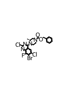 C[C@H]1CN(C(=O)OCc2ccccc2)CCN1c1nc(Cl)nc2c(F)c(Br)c(Cl)cc12